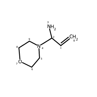 C=CC(N)N1CCOCC1